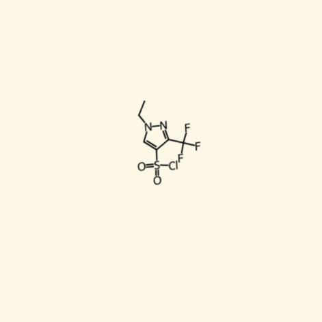 CCn1cc(S(=O)(=O)Cl)c(C(F)(F)F)n1